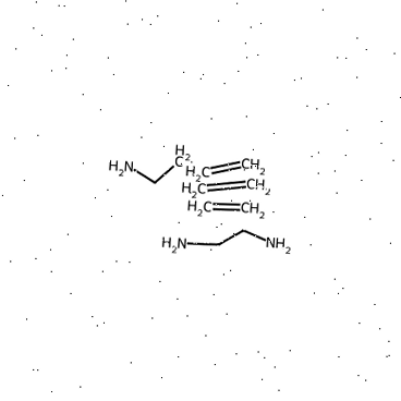 C=C.C=C.C=C.NCCN.[CH2]CN